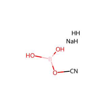 N#COB(O)O.[HH].[NaH]